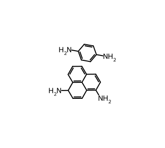 Nc1ccc(N)cc1.Nc1ccc2cccc3c2c1C=CC3N